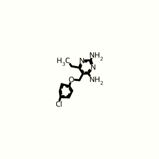 CCc1nc(N)nc(N)c1COc1ccc(Cl)cc1